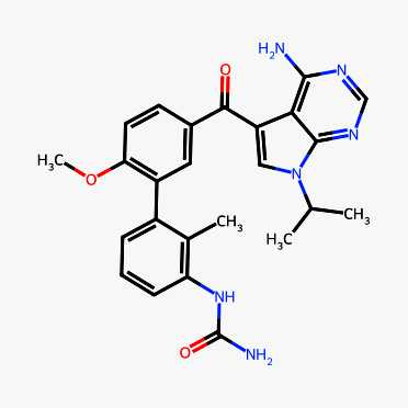 COc1ccc(C(=O)c2cn(C(C)C)c3ncnc(N)c23)cc1-c1cccc(NC(N)=O)c1C